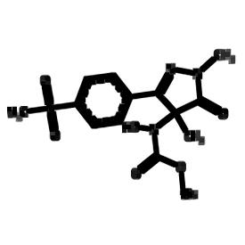 CN1N=C(c2ccc(S(C)(=O)=O)cc2)C(C)(N(O)C(=O)OC(C)(C)C)C1=O